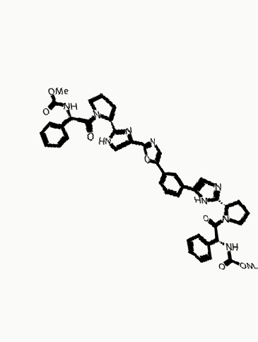 COC(=O)N[C@@H](C(=O)N1CCC[C@H]1c1nc(-c2ncc(-c3cccc(-c4cnc([C@@H]5CCCN5C(=O)[C@H](NC(=O)OC)c5ccccc5)[nH]4)c3)o2)c[nH]1)c1ccccc1